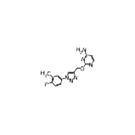 Cc1cc(-n2cc(COc3nccc(N)n3)nn2)ccc1F